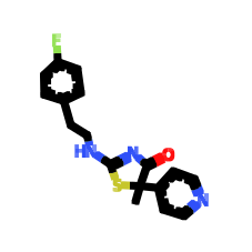 CC1(c2ccncc2)SC(NCCc2ccc(F)cc2)=NC1=O